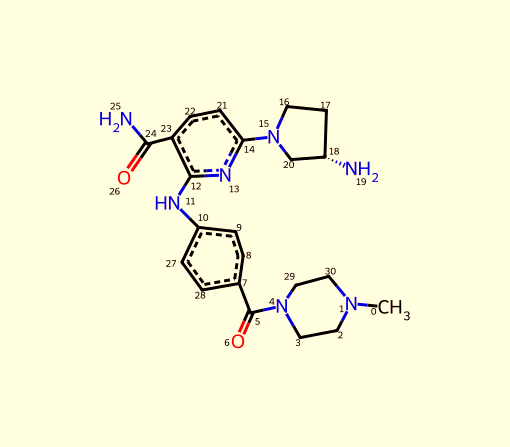 CN1CCN(C(=O)c2ccc(Nc3nc(N4CC[C@H](N)C4)ccc3C(N)=O)cc2)CC1